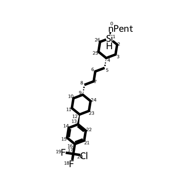 CCCCC[Si@H]1CC[C@H](CCCC[C@H]2CC[C@H](c3ccc(C(F)(F)Cl)cc3)CC2)CC1